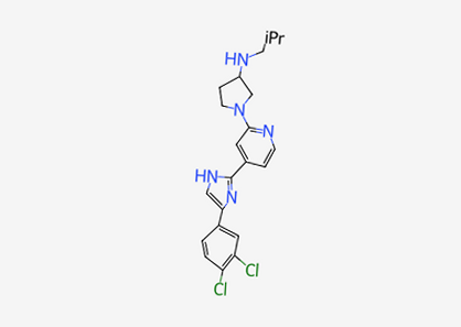 CC(C)CNC1CCN(c2cc(-c3nc(-c4ccc(Cl)c(Cl)c4)c[nH]3)ccn2)C1